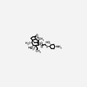 C=C[C@]1(C)C[C@@H](OC(=O)CS[C@@H]2CC[C@@H](N)C[C@H]2O)[C@]2(C)C(C)C[C@]3(CCC(=O)[C@H]32)[C@@H](C)[C@@H]1O